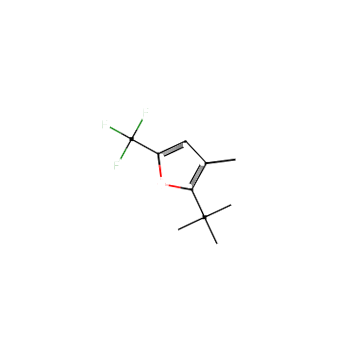 Cc1cc(C(F)(F)F)oc1C(C)(C)C